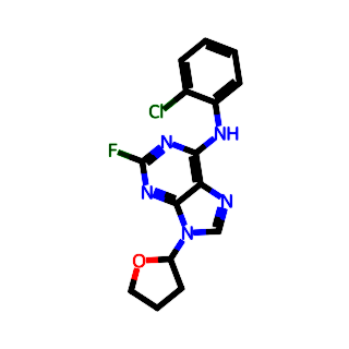 Fc1nc(Nc2ccccc2Cl)c2ncn(C3CCCO3)c2n1